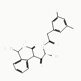 C[C@H](NC(=O)Cc1cc(F)cc(F)c1)C(=O)C1C(=O)NC(N)c2ccccc21